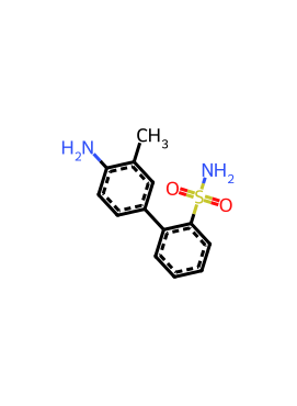 Cc1cc(-c2ccccc2S(N)(=O)=O)ccc1N